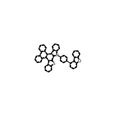 c1ccc2c(c1)oc1cccc(-c3ccc(-n4c5ccccc5c5c6c7ccccc7c7ccccc7c6c6c7ccccc7sc6c54)cc3)c12